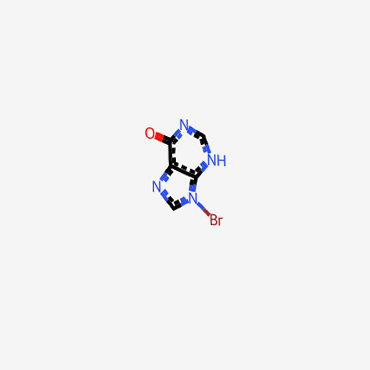 O=c1nc[nH]c2c1ncn2Br